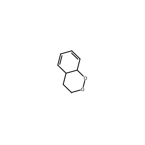 [CH]1CC2C=CC=CC2OO1